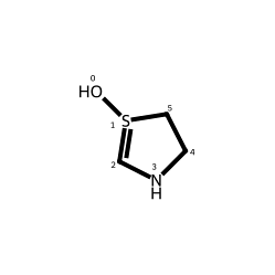 OS1=CNCC1